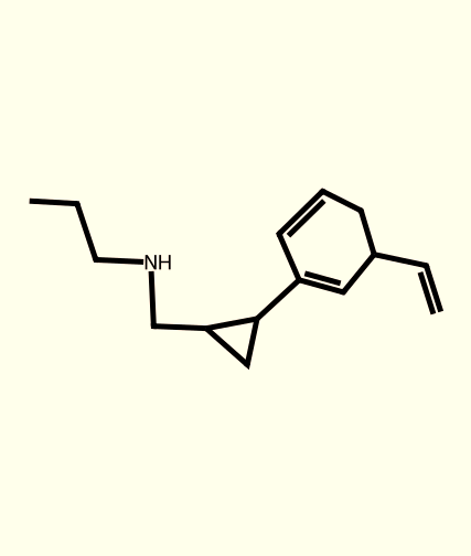 C=CC1C=C(C2CC2CNCCC)C=CC1